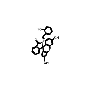 O=C1c2ccccc2C2(c3ccc(O)cc3Oc3cc(O)ccc32)N1N=Cc1ccccc1O